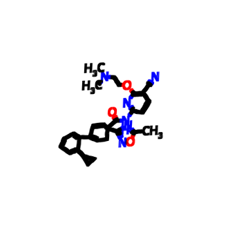 Cc1nc(C2(C(=O)Nc3ccc(C#N)c(OCCN(C)C)n3)C=CC(c3ccccc3C3CC3)=CC2)no1